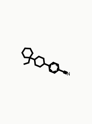 CCC1(C2CCC(c3ccc(C#N)cc3)CC2)CCCCC1